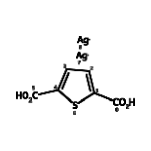 O=C(O)c1ccc(C(=O)O)s1.[Ag].[Ag]